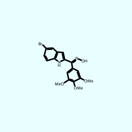 COc1cc(C(=NO)c2cc3cc(Br)ccc3[nH]2)cc(OC)c1OC